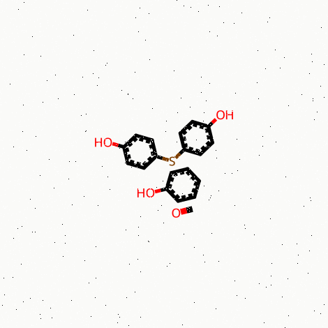 C=O.Oc1ccc(Sc2ccc(O)cc2)cc1.Oc1ccccc1